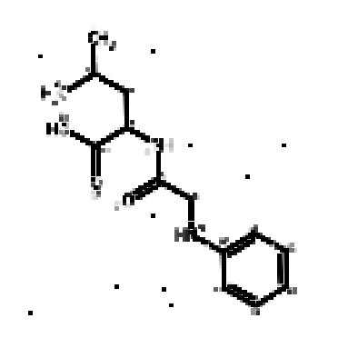 CC(C)CC(NC(=O)CNc1ccccc1)C(=O)O